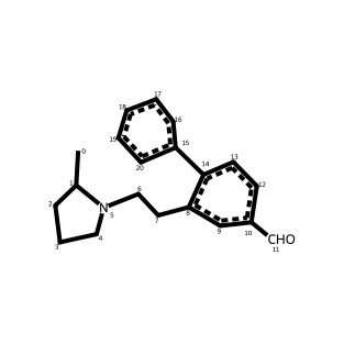 CC1CCCN1CCc1cc(C=O)ccc1-c1ccccc1